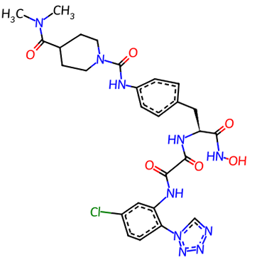 CN(C)C(=O)C1CCN(C(=O)Nc2ccc(C[C@H](NC(=O)C(=O)Nc3cc(Cl)ccc3-n3cnnn3)C(=O)NO)cc2)CC1